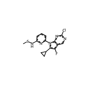 CSNc1cccc(-n2c(C3CC3)c(F)c3cnc(Cl)nc32)n1